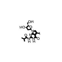 CC(C)C(=O)Nc1nc2c(c(I)cn2[C@H]2C[C@H](O)[C@@H](CO)O2)c(=O)[nH]1